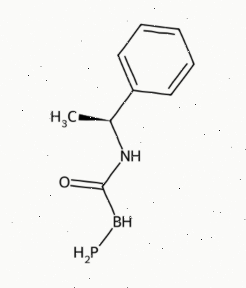 C[C@H](NC(=O)BP)c1ccccc1